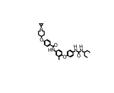 CCC(CC)NC(=O)Nc1ccc(Oc2ccc(NC(=O)c3ccc(OC4CCN(C5CC5)CC4)cc3)cc2C)cc1